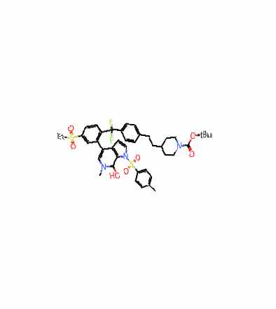 CCS(=O)(=O)c1ccc(C(F)(F)c2ccc(CCC3CCN(C(=O)OC(C)(C)C)CC3)cc2)c(C2=CN(C)C(O)c3c2ccn3S(=O)(=O)c2ccc(C)cc2)c1